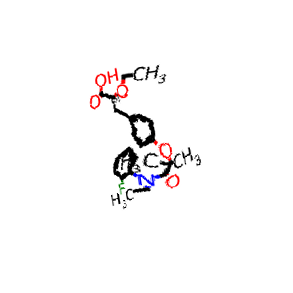 CCO[C@@H](Cc1ccc(OC(C)(C)C(=O)N(CC)c2ccccc2F)cc1)C(=O)O